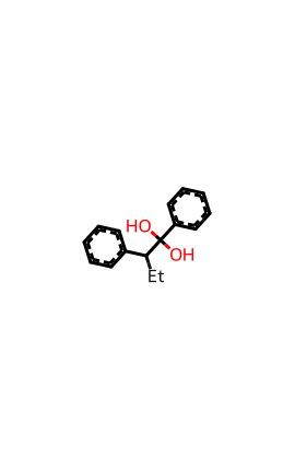 CCC(c1ccccc1)C(O)(O)c1ccccc1